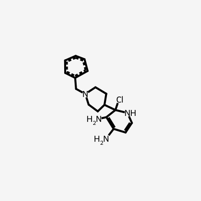 NC1=C(N)C(Cl)(C2CCN(Cc3ccccc3)CC2)NC=C1